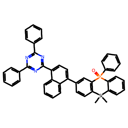 C[Si]1(C)c2ccccc2P(=O)(c2ccccc2)c2cc(-c3ccc(-c4nc(-c5ccccc5)nc(-c5ccccc5)n4)c4ccccc34)ccc21